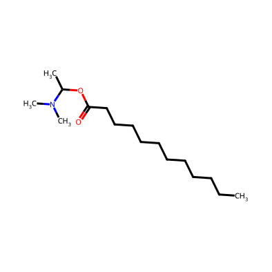 CCCCCCCCCCCC(=O)OC(C)N(C)C